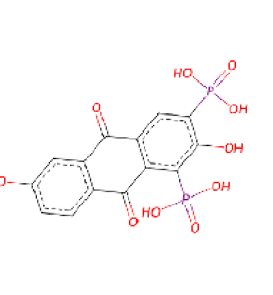 O=C1c2cc(O)ccc2C(=O)c2c1cc(P(=O)(O)O)c(O)c2P(=O)(O)O